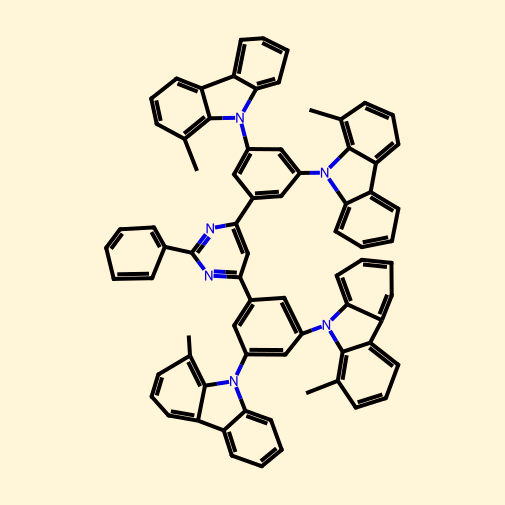 Cc1cccc2c3ccccc3n(-c3cc(-c4cc(-c5cc(-n6c7ccccc7c7cccc(C)c76)cc(-n6c7ccccc7c7cccc(C)c76)c5)nc(-c5ccccc5)n4)cc(-n4c5ccccc5c5cccc(C)c54)c3)c12